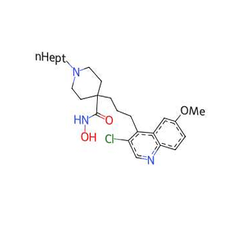 CCCCCCCN1CCC(CCCc2c(Cl)cnc3ccc(OC)cc23)(C(=O)NO)CC1